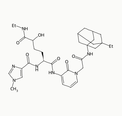 CCNC(=O)C(O)CC[C@H](NC(=O)c1cn(C)cn1)C(=O)Nc1cccn(CC(=O)NC23CC4CC(CC(CC)(C4)C2)C3)c1=O